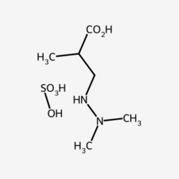 CC(CNN(C)C)C(=O)O.O=S(=O)(O)O